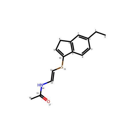 CCc1ccc2c(c1)CC=C2S/C=C/NC(C)=O